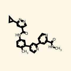 CNC(=O)c1cc(-c2cc(-c3cc(NC(=O)c4cnnc(C5CC5)c4)ccc3C)ccn2)ccn1